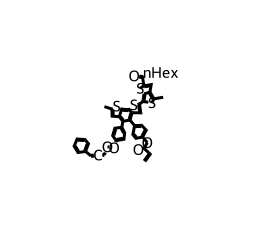 C=CC(=O)Oc1ccc(-c2c(-c3ccc(OOC=C=Cc4ccccc4)cc3)c3cc(C)sc3c3sc(-c4sc(C)c5cc(C(=O)CCCCCC)sc45)cc23)cc1